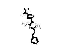 CC(=NC(C)CCc1ccccc1)C(=O)c1cc(C(N)=O)cs1